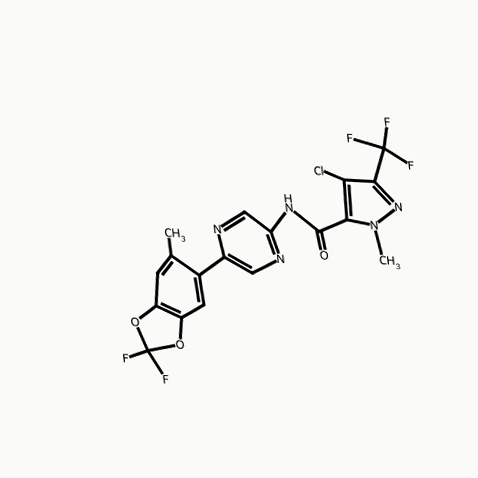 Cc1cc2c(cc1-c1cnc(NC(=O)c3c(Cl)c(C(F)(F)F)nn3C)cn1)OC(F)(F)O2